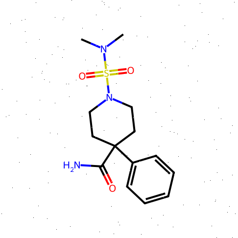 CN(C)S(=O)(=O)N1CCC(C(N)=O)(c2ccccc2)CC1